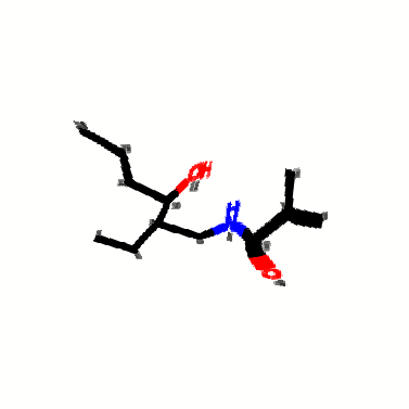 C=C(C)C(=O)NCC(CC)C(O)CCC